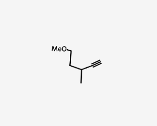 C#CC(C)CCO[CH2]